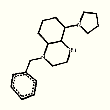 c1ccc(CN2CCNC3C(N4CCCC4)CCCC32)cc1